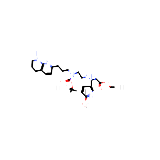 CCOC(=O)CC(NCCN(CCCc1ccc2c(n1)NCCC2)C(=O)OC(C)(C)C)c1ccc(OC)nc1